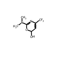 CN(C)C1=NC(C(F)(F)F)=CC(O)O1